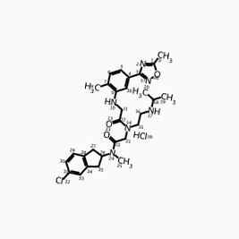 Cc1nc(-c2ccc(C)c(NCC(=O)N(CCNC(C)C)CC(=O)N(C)C3Cc4ccc(Cl)cc4C3)c2)no1.Cl